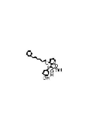 O=C(O)C(O)C(Sc1ccc(O)cc1)c1ncccc1OCCCCCCc1ccccc1